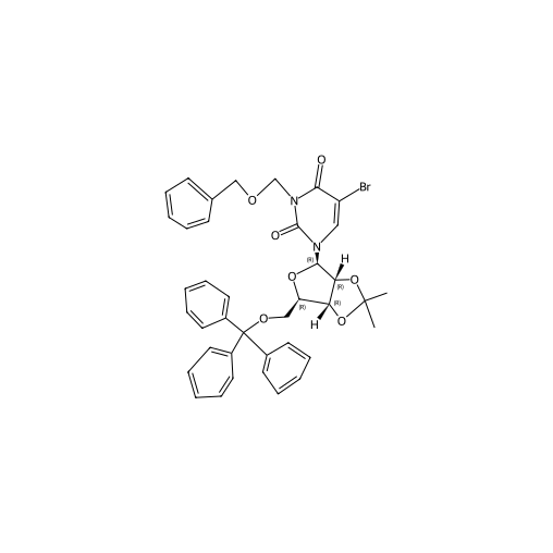 CC1(C)O[C@@H]2[C@H](O1)[C@@H](COC(c1ccccc1)(c1ccccc1)c1ccccc1)O[C@H]2n1cc(Br)c(=O)n(COCc2ccccc2)c1=O